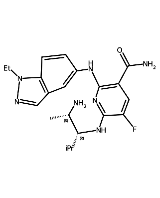 CCn1ncc2cc(Nc3nc(N[C@H](C(C)C)[C@H](C)N)c(F)cc3C(N)=O)ccc21